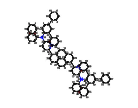 c1ccc(-c2cc(-c3ccccc3)c(N(c3ccccc3)c3ccc(-c4ccc5ccc6c(-c7ccc(N(c8ccccc8)c8c(-c9ccccc9)cc(-c9ccccc9)cc8-c8ccccc8)cn7)ccc7ccc4c5c76)nc3)c(-c3ccccc3)c2)cc1